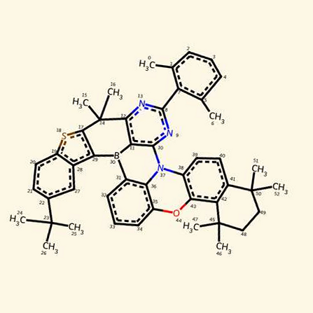 Cc1cccc(C)c1-c1nc2c3c(n1)C(C)(C)c1sc4ccc(C(C)(C)C)cc4c1B3c1cccc3c1N2c1ccc2c(c1O3)C(C)(C)CCC2(C)C